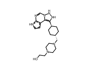 OCCN1CCN(C[C@H]2CC[C@H](C3=C4c5cc[nH]c5N=CN4NN3)CC2)CC1